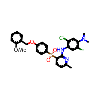 COc1ccccc1COc1ccc(S(=O)(=O)c2ccc(C)nc2Nc2cc(F)c(N(C)C)cc2Cl)cc1